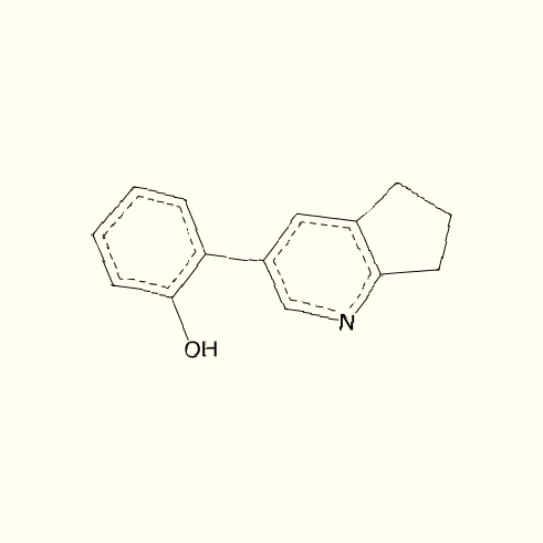 Oc1ccccc1-c1cnc2c(c1)CCC2